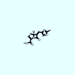 Cc1nc(C=C2C(=O)N3C(C(=O)O)=CS[C@H]23)cs1